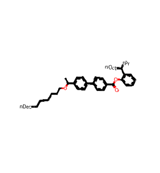 CCCCCCCCCCCCCCCCOC(C)c1ccc(-c2ccc(C(=O)Oc3ccccc3C(CCC)CCCCCCCC)cc2)cc1